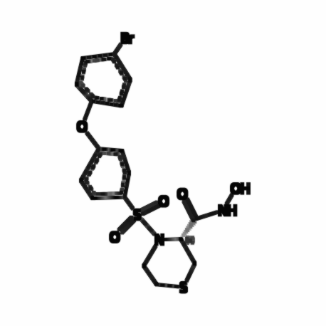 O=C(NO)[C@@H]1CSCCN1S(=O)(=O)c1ccc(Oc2ccc(Br)cc2)cc1